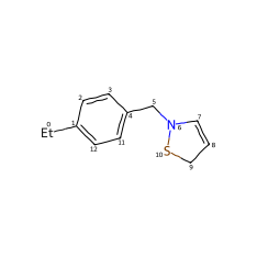 CCc1ccc(CN2C=CCS2)cc1